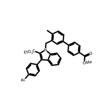 CCOC(=O)c1c(-c2ccc(C(C)=O)cc2)c2ccccc2n1Cc1cc(-c2ccc(C(=O)OC)cc2)ccc1C